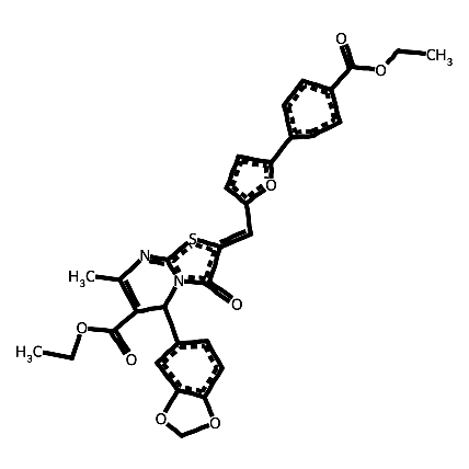 CCOC(=O)C1=C(C)N=c2sc(=Cc3ccc(-c4ccc(C(=O)OCC)cc4)o3)c(=O)n2C1c1ccc2c(c1)OCO2